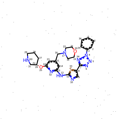 c1ccc(-n2nnc(-c3cnc(Nc4cc(CN5CCOCC5)cc(O[C@H]5CCCNC5)n4)s3)n2)cc1